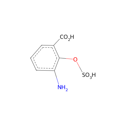 Nc1cccc(C(=O)O)c1OS(=O)(=O)O